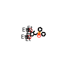 C=C1/C(=C\CP(=O)(c2ccccc2)c2ccccc2)C[C@H](O[Si](CC)(CC)CC)C[C@H]1O[Si](CC)(CC)CC